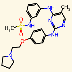 Cc1cnc(Nc2ccc(OCCN3CCCC3)cc2)nc1Nc1cccc(NS(C)(=O)=O)c1